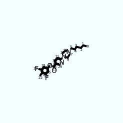 CCCCCCN1CCN(c2ccc(C(=O)Oc3cc(F)c(C)c(F)c3)cn2)CC1